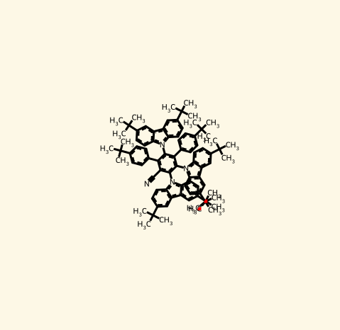 CC(C)(C)c1ccc(-c2c(C#N)c(-n3c4ccc(C(C)(C)C)cc4c4cc(C(C)(C)C)ccc43)c(-n3c4ccc(C(C)(C)C)cc4c4cc(C(C)(C)C)ccc43)c(-c3ccc(C(C)(C)C)cc3)c2-n2c3ccc(C(C)(C)C)cc3c3cc(C(C)(C)C)ccc32)cc1